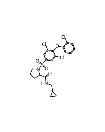 O=C(NCC1CC1)C1CCCN1S(=O)(=O)c1cc(Cl)c(Oc2ccccc2Cl)c(Cl)c1